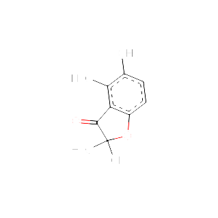 Cc1ccc2c(c1C)C(=O)C(C)(C)O2